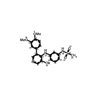 COc1ccc(-c2cncc(C#N)c2Nc2cccc(NS(C)(=O)=O)c2)cc1OC